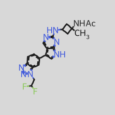 CC(=O)NC1(C)CC(Nc2ncc3c(-c4ccc5nnn(CC(F)F)c5c4)c[nH]c3n2)C1